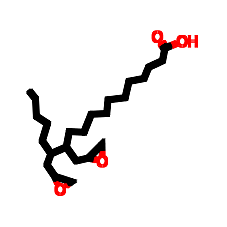 CCCCCC(CC1CO1)C(CCCCCCCCCCC(=O)O)CC1CO1